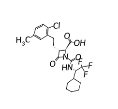 Cc1ccc(Cl)c(CC[C@H]2C(=O)N(C(=O)N[C@@H](C3CCCCC3)C(F)(F)F)[C@@H]2C(=O)O)c1